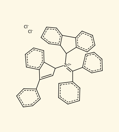 C1=C(c2ccccc2)c2ccccc2[CH]1[Zr+2](=[C](c1ccccc1)c1ccccc1)[CH]1c2ccccc2-c2ccccc21.[Cl-].[Cl-]